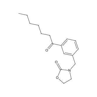 CCCCCCC(=O)c1cccc(CN2CCOC2=O)c1